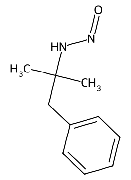 CC(C)(Cc1ccccc1)NN=O